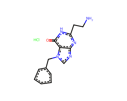 Cl.NCCc1nc2ncn(Cc3ccccc3)c2c(=O)[nH]1